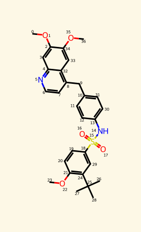 COc1cc2nccc(Cc3ccc(NS(=O)(=O)c4ccc(OC)c(C(C)(C)C)c4)cc3)c2cc1OC